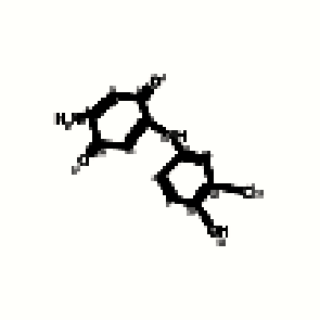 NC1=CC(=O)C(Nc2ccc(O)c(Cl)c2)=CC1=O